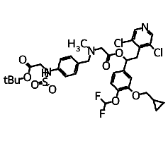 CN(CC(=O)OC(Cc1c(Cl)cncc1Cl)c1ccc(OC(F)F)c(OCC2CC2)c1)Cc1ccc(N(CC(=O)OC(C)(C)C)[SH](=O)=O)cc1